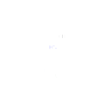 CCNc1ccc(Cl)c(I)c1